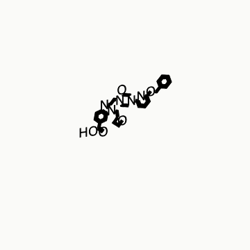 O=C(O)c1ccc2nc(CN3CCN(c4cccc(OCc5ccccc5)n4)CC3=O)n(CC3CCO3)c2c1